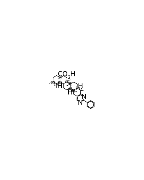 C[C@H]1[C@H](C)CC[C@]2(C(=O)O)CC[C@]3(C)C(=CC[C@@H]4[C@@]5(C)Cc6cnc(-c7ccccc7)nc6C(C)(C)[C@@H]5CC[C@]43C)[C@H]12